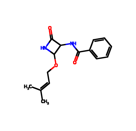 CC(C)=CCOC1NC(=O)C1NC(=O)c1ccccc1